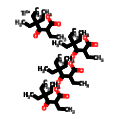 CCC(C(=O)[O-])C(=O)C(CC)(CC)CC.CCC(C(=O)[O-])C(=O)C(CC)(CC)CC.CCC(C(=O)[O-])C(=O)C(CC)(CC)CC.CCC(C(=O)[O-])C(=O)C(CC)(CC)CC.[Ti+4]